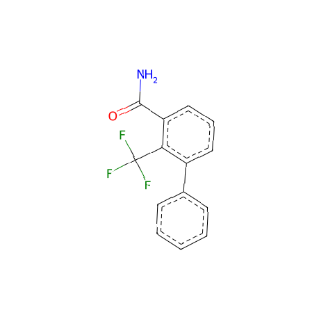 NC(=O)c1cccc(-c2ccccc2)c1C(F)(F)F